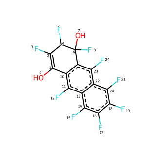 OC1=C(F)C(F)C(O)(F)c2c1c(F)c1c(F)c(F)c(F)c(F)c1c2F